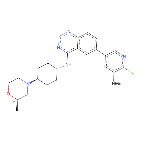 CNc1cc(-c2ccc3ncnc(N[C@H]4CC[C@H](N5CCO[C@H](C)C5)CC4)c3c2)cnc1F